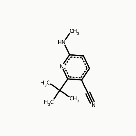 CNc1ccc(C#N)c(C(C)(C)C)n1